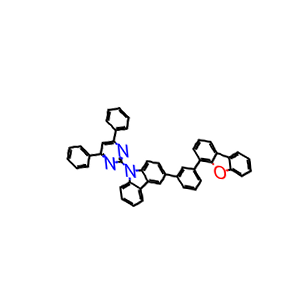 c1ccc(-c2cc(-c3ccccc3)nc(-n3c4ccccc4c4cc(-c5cccc(-c6cccc7c6oc6ccccc67)c5)ccc43)n2)cc1